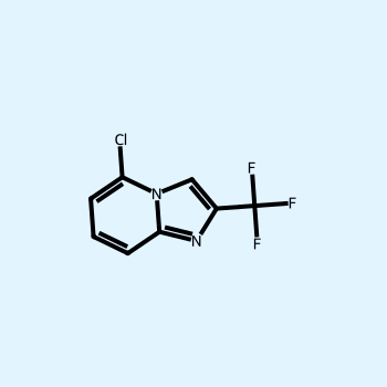 FC(F)(F)c1cn2c(Cl)cccc2n1